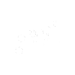 CNC(=O)C1CC(O)CN1C(=O)[C@@H](n1cc(-c2cccc(-c3ccccc3)c2)nn1)C(C)(C)C